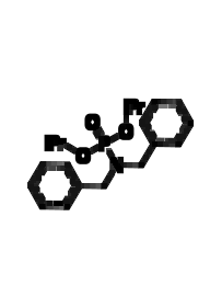 CC(C)OP(=O)(OC(C)C)N(Cc1ccccc1)Cc1ccccc1